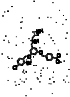 COC(=O)c1ccc(COc2cc(CNCC3CNC3)cc(OCc3ccc(Cl)cc3Br)c2)cc1